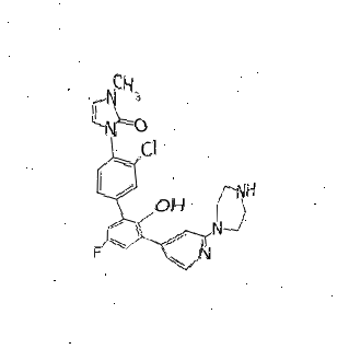 Cn1ccn(-c2ccc(-c3cc(F)cc(-c4ccnc(N5CCNCC5)c4)c3O)cc2Cl)c1=O